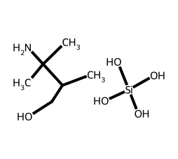 CC(CO)C(C)(C)N.O[Si](O)(O)O